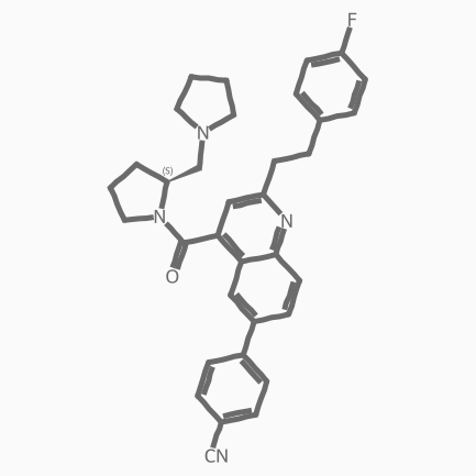 N#Cc1ccc(-c2ccc3nc(CCc4ccc(F)cc4)cc(C(=O)N4CCC[C@H]4CN4CCCC4)c3c2)cc1